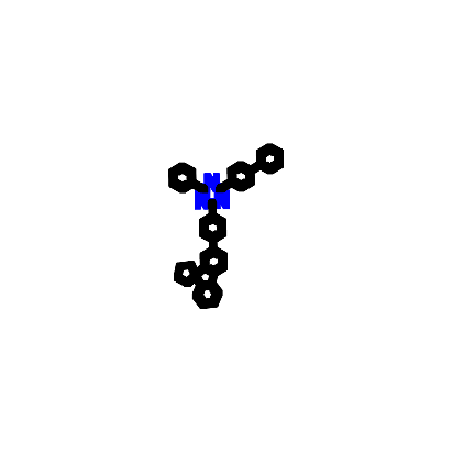 c1ccc(-c2ccc(-c3nc(-c4ccccc4)nc(-c4ccc(-c5ccc6c(c5)C5(CCCC5)c5ccccc5-6)cc4)n3)cc2)cc1